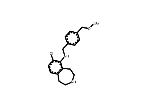 CC(C)(C)OCc1ccc(CNc2c(Cl)ccc3c2CCNCC3)cc1